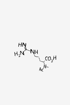 CC(=O)N(C)C(CCCNC(=N)N)C(=O)O